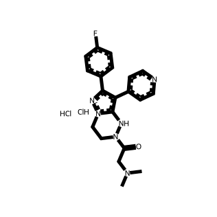 CN(C)CC(=O)N1CCn2nc(-c3ccc(F)cc3)c(-c3ccncc3)c2N1.Cl.Cl